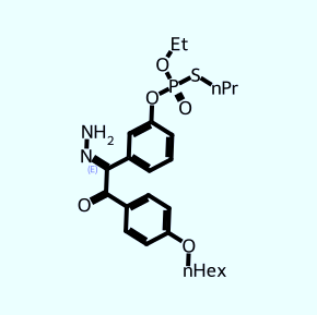 CCCCCCOc1ccc(C(=O)/C(=N/N)c2cccc(OP(=O)(OCC)SCCC)c2)cc1